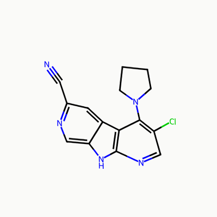 N#Cc1cc2c(cn1)[nH]c1ncc(Cl)c(N3CCCC3)c12